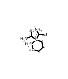 CCC(N)[Si]1(C(N)CC)CCCO[SiH2]1